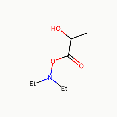 CCN(CC)OC(=O)C(C)O